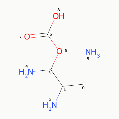 CC(N)C(N)OC(=O)O.N